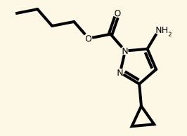 CCCCOC(=O)n1nc(C2CC2)cc1N